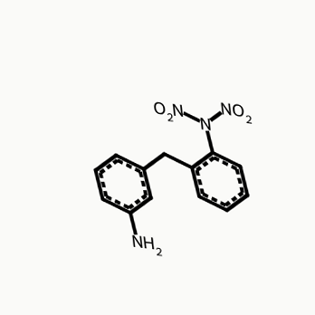 Nc1cccc(Cc2ccccc2N([N+](=O)[O-])[N+](=O)[O-])c1